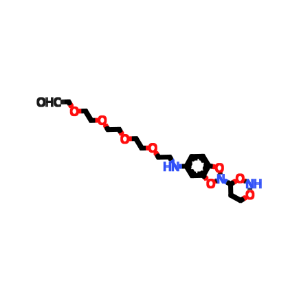 O=CCOCCOCCOCCOCCNc1ccc2c(c1)ON(C1CCONO1)O2